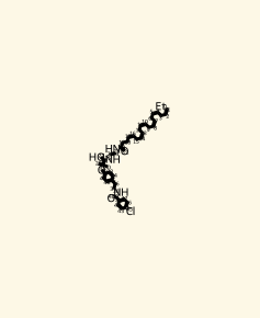 CC/C=C\C/C=C\C/C=C\C/C=C\C/C=C\C/C=C\CCC(=O)NCCNC(O)C(C)(C)Oc1ccc(CCNC(=O)c2ccc(Cl)cc2)cc1